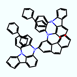 c1ccc(-c2ccc(N(c3cc(N(c4ccc(-c5ccccc5)cc4)c4cccc5c6ccccc6n(-c6ccccc6)c45)c4c(ccc5ccccc54)c3)c3cccc4c5ccccc5n(-c5ccccc5)c34)cc2)cc1